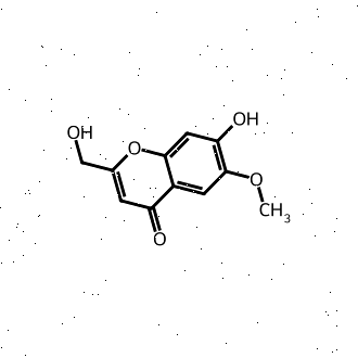 COc1cc2c(=O)cc(CO)oc2cc1O